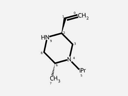 C=C[C@H]1CN(C(C)C)[C@H](C)CN1